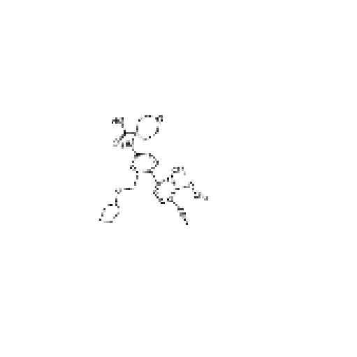 COc1c(C#N)ccc(-c2ccc(NC3(C(=O)O)CCOCC3)cc2COC2CCCC2)c1C